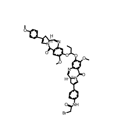 CCC(Oc1cc2c(cc1OC)C(=O)N1C=C(c3ccc(NC(=O)CBr)cc3)C[C@H]1C=N2)Oc1cc2c(cc1OC)C(=O)N1C=C(c3ccc(OC)cc3)C[C@H]1C=N2